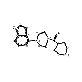 O=C(C1CCNCC1)N1CCN(c2cccc3[nH]ccc23)CC1